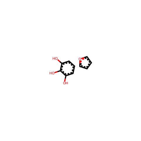 Oc1cccc(O)c1O.c1ccoc1